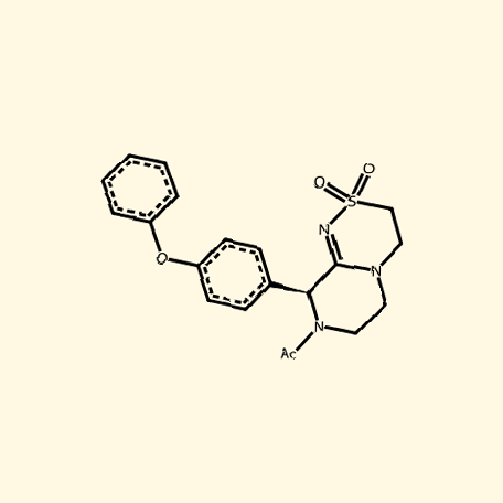 CC(=O)N1CCN2CCS(=O)(=O)N=C2[C@@H]1c1ccc(Oc2ccccc2)cc1